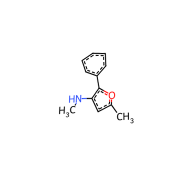 CNc1cc(C)oc1-c1ccccc1